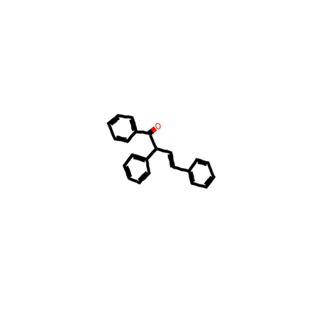 O=C(c1ccccc1)C(C=Cc1ccccc1)c1ccccc1